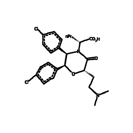 CCC[C@H](C(=O)O)N1C(=O)[C@H](CCN(C)C)O[C@@H](c2ccc(Cl)cc2)[C@H]1c1ccc(Cl)cc1